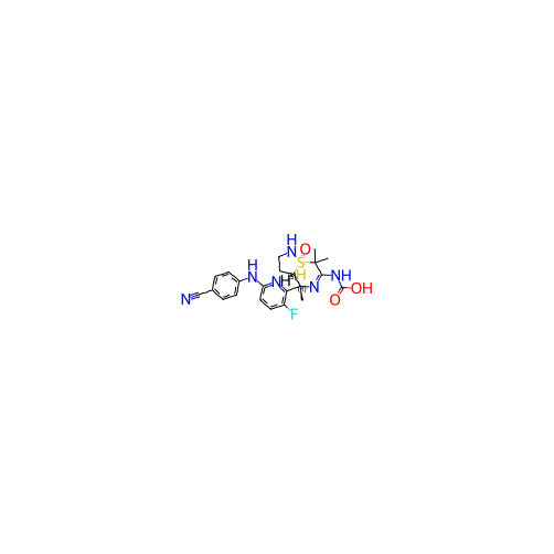 CC1(C)C(NC(=O)O)=N[C@](C)(c2nc(Nc3ccc(C#N)cc3)ccc2F)[C@@H]2CCN[SH]21=O